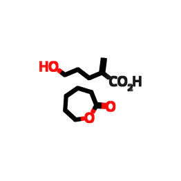 C=C(CCCO)C(=O)O.O=C1CCCCCO1